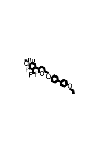 C=CCOc1ccc(-c2ccc(OCC3CCC(c4ccc(OCCCC)c(F)c4C(F)F)CO3)cc2)cc1